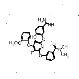 COc1ccccc1Oc1c(F)c(Oc2cccc(C(=O)N(C)C)c2)nc(Oc2cc(C(=N)N)ccc2O)c1F